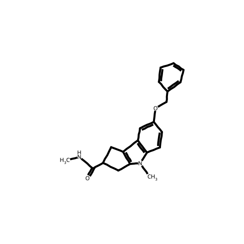 CNC(=O)C1Cc2c(n(C)c3ccc(OCc4ccccc4)cc23)C1